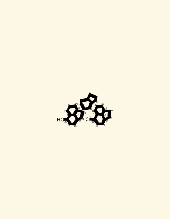 C1=Cc2ccccc2C1.Clc1ccc2c3c(cccc13)C=C2.Oc1ccc2c3c(cccc13)C=C2